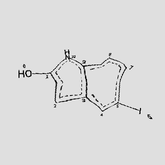 Oc1cc2cc(I)ccc2[nH]1